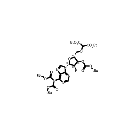 CCOC(=O)C(OC[C@H]1O[C@@H](n2cnc3c(N(C(=O)OC(C)(C)C)C(=O)OC(C)(C)C)ncnc32)[C@H](F)[C@@H]1OC(=O)OC(C)(C)C)C(=O)OCC